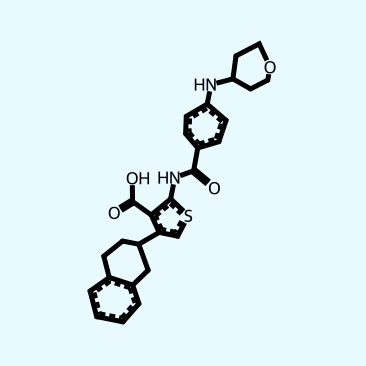 O=C(Nc1scc(C2CCc3ccccc3C2)c1C(=O)O)c1ccc(NC2CCOCC2)cc1